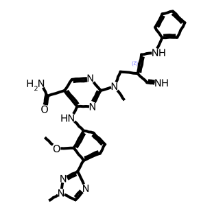 COc1c(Nc2nc(N(C)C/C(C=N)=C/Nc3ccccc3)ncc2C(N)=O)cccc1-c1ncn(C)n1